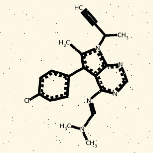 C#CC(C)n1c(C)c(-c2ccc(Cl)cc2)c2c(N=CN(C)C)ncnc21